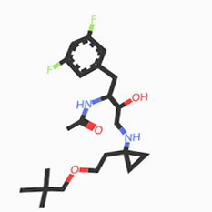 CC(=O)NC(Cc1cc(F)cc(F)c1)C(O)CNC1(CCOCC(C)(C)C)CC1